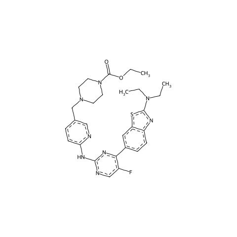 CCOC(=O)N1CCN(Cc2ccc(Nc3ncc(F)c(-c4ccc5nc(N(CC)CC)sc5c4)n3)nc2)CC1